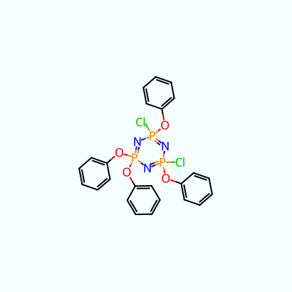 ClP1(Oc2ccccc2)=NP(Cl)(Oc2ccccc2)=NP(Oc2ccccc2)(Oc2ccccc2)=N1